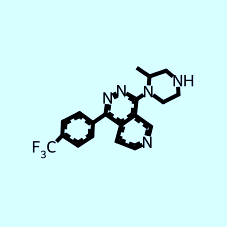 CC1CNCCN1c1nnc(-c2ccc(C(F)(F)F)cc2)c2ccncc12